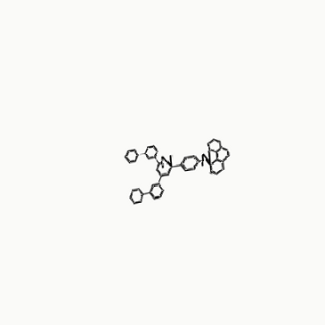 c1ccc(-c2cccc(-c3cc(-c4ccc(-n5c6cccc7ccc8cccc5c8c76)cc4)nc(-c4cccc(-c5ccccc5)c4)c3)c2)cc1